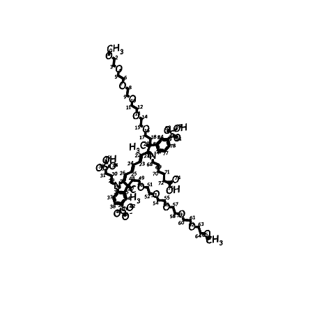 COCCOCCOCCOCCOCCOCCC1(C)C(/C=C/C=C/C=C2/N(CCCS(=O)(=O)O)c3ccc(S(=O)(=O)[O-])cc3C2(C)CCOCCOCCOCCOCCOCCOC)=[N+](CCCCCC(=O)O)c2ccc(S(=O)(=O)O)cc21